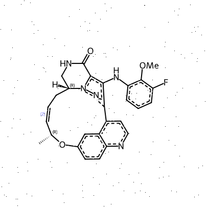 COc1c(F)cccc1Nc1c2nn3c1C(=O)NC[C@H]3C/C=C\[C@@H](C)Oc1ccc3nccc-2c3c1